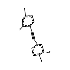 Cc1ccc(C#Cc2ccc(C)c(F)c2)c(F)c1